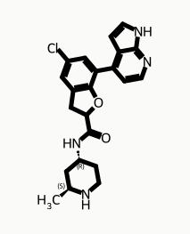 C[C@H]1C[C@H](NC(=O)C2Cc3cc(Cl)cc(-c4ccnc5[nH]ccc45)c3O2)CCN1